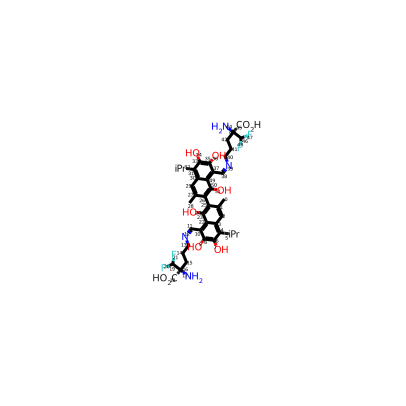 Cc1cc2c(C(C)C)c(O)c(O)c(/C=N\CCCC(N)(C(=O)O)C(F)F)c2c(O)c1-c1c(C)cc2c(C(C)C)c(O)c(O)c(/C=N\CCCC(N)(C(=O)O)C(F)F)c2c1O